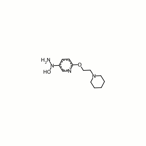 NN(O)c1ccc(OCCN2CCCCC2)nc1